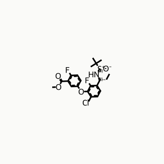 CC[C@@H](N[S@+]([O-])C(C)(C)C)c1ccc(Cl)c(Oc2ccc(F)c(C(=O)OC)c2)c1F